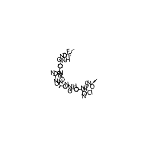 C=C(C(=O)N1CCC[C@@H](n2nc(-c3ccc(C(=O)Nc4cc(C(F)(F)CCC)ccn4)cc3)c3cncc(C#N)c32)C1)c1ccc(NC(=O)c2ccc(-c3nn(C[C@H]4CCCN4C(=O)C#CC)c4c(Cl)cncc34)cc2)nc1